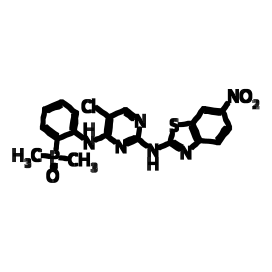 CP(C)(=O)c1ccccc1Nc1nc(Nc2nc3ccc([N+](=O)[O-])cc3s2)ncc1Cl